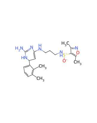 Cc1cccc(C2C=C(NCCCN[S+]([O-])c3c(C)noc3C)N=C(N)N2)c1C